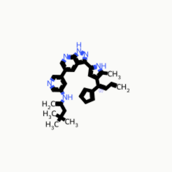 C=C/C=C(/C1=CCC=C1)c1cc(-c2n[nH]c3ncc(-c4cncc(NC(=C)CC(C)(C)C)c4)cc23)[nH]c1C